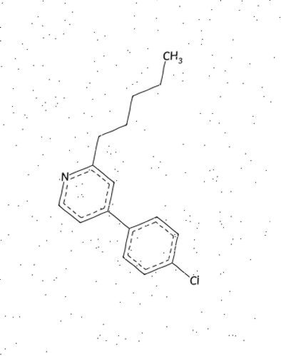 CCCCCc1cc(-c2ccc(Cl)cc2)ccn1